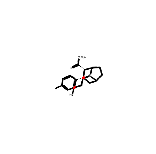 COC(=O)[C@@H]1C2CCC(C[C@@H]1c1ccc(I)cc1)N2CCC[18F]